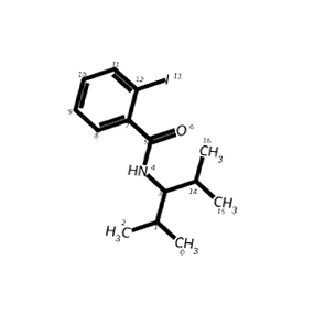 CC(C)C(NC(=O)c1ccccc1I)C(C)C